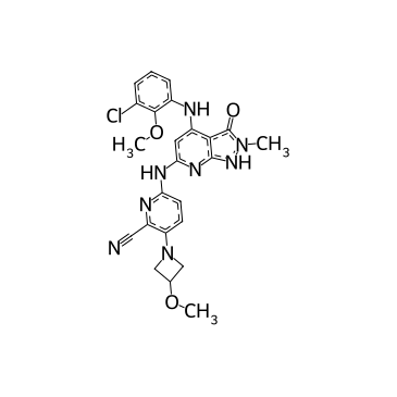 COc1c(Cl)cccc1Nc1cc(Nc2ccc(N3CC(OC)C3)c(C#N)n2)nc2[nH]n(C)c(=O)c12